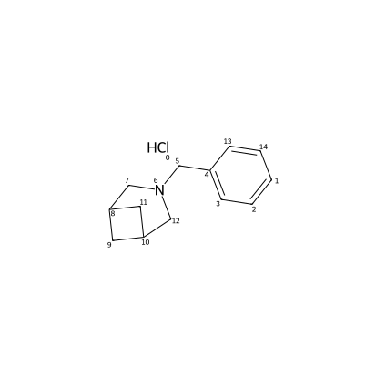 Cl.c1ccc(CN2CC3CC(C3)C2)cc1